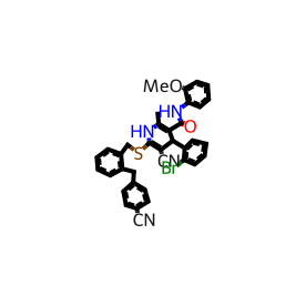 COc1ccccc1NC(=O)C1=C(C)NC(SCc2ccccc2Cc2ccc(C#N)cc2)=C(C#N)C1c1ccccc1Br